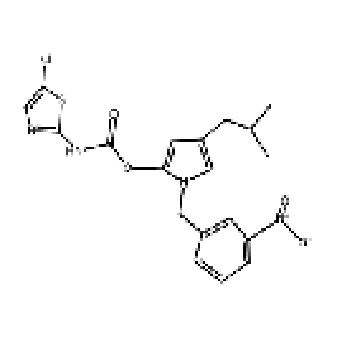 CC(C)Cc1cc(OC(=O)Nc2ncc(Cl)s2)n(Cc2cccc([N+](=O)[O-])c2)c1